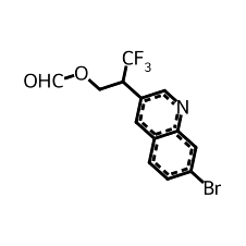 O=COCC(c1cnc2cc(Br)ccc2c1)C(F)(F)F